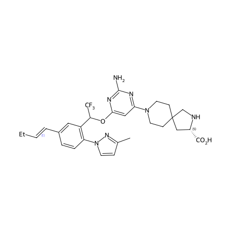 CC/C=C/c1ccc(-n2ccc(C)n2)c(C(Oc2cc(N3CCC4(CC3)CN[C@H](C(=O)O)C4)nc(N)n2)C(F)(F)F)c1